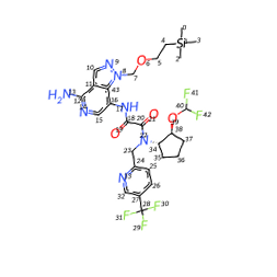 C[Si](C)(C)CCOCn1ncc2c(N)ncc(NC(=O)C(=O)N(Cc3ccc(C(F)(F)F)cn3)[C@H]3CCC[C@@H]3OC(F)F)c21